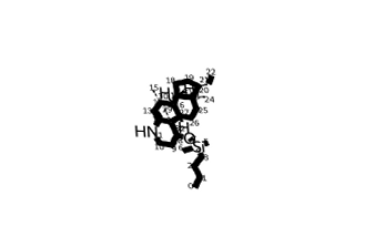 CCCC[Si](C)(C)OC1CCNC2=C[C@H](C)[C@H]3[C@@H]4CC[C@H](CC)[C@@]4(C)CC[C@@H]3[C@]21C